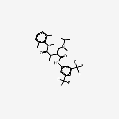 Cc1cccc(C)c1N(C)C(=O)C(C)C(CN(C)C(C)C)C(=O)Nc1cc(C(F)(F)F)cc(C(F)(F)F)c1